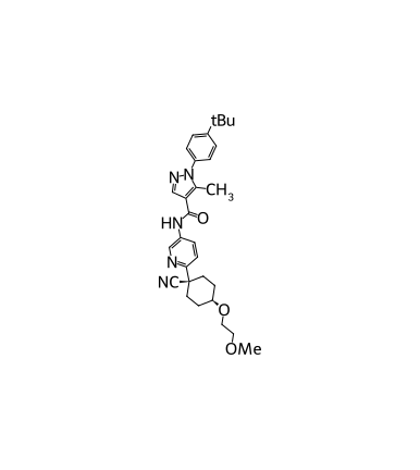 COCCO[C@H]1CC[C@](C#N)(c2ccc(NC(=O)c3cnn(-c4ccc(C(C)(C)C)cc4)c3C)cn2)CC1